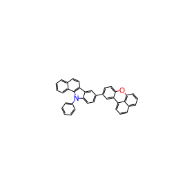 c1ccc(-n2c3ccc(-c4ccc5c(c4)-c4cccc6cccc(c46)O5)cc3c3ccc4ccccc4c32)cc1